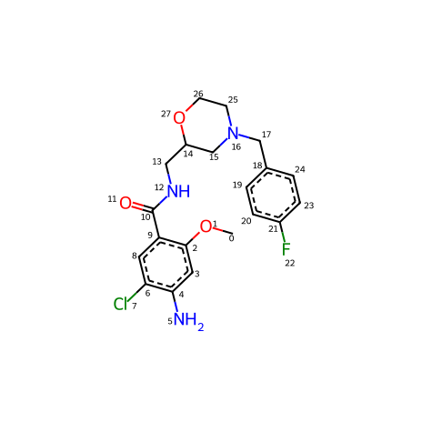 COc1cc(N)c(Cl)cc1C(=O)NCC1CN(Cc2ccc(F)cc2)CCO1